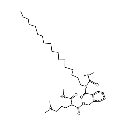 CCCCCCCCCCCCCCCCCCN(C(=O)NC)C(=O)c1ccccc1COC(=O)N(CCCN(C)C)C(=O)NC